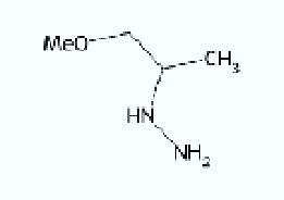 COCC(C)NN